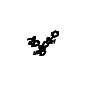 CCS(=O)(=O)c1ccc(Oc2cc3nc(-c4ccccn4)[nH]c3cc2N2CCCC2(O)O)cn1